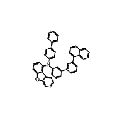 c1ccc(-c2ccc(N(c3cccc(-c4cccc(-c5cccc6ccccc56)c4)c3)c3cccc4oc5ccccc5c34)cc2)cc1